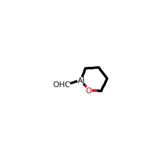 O=[CH][Al]1[CH2]CCC[O]1